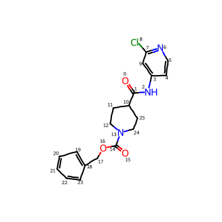 O=C(Nc1ccnc(Cl)c1)C1CCN(C(=O)OCc2ccccc2)CC1